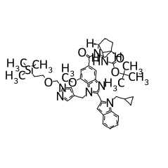 COc1cc(C(=O)N2C[C@H]3CC[C@@H]2[C@@H]3NC(=O)OC(C)(C)C)cc2nc(-c3cc4ccccc4n3CC3CC3)n(Cc3cnn(COCC[Si](C)(C)C)c3)c12